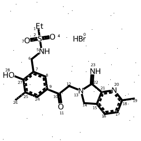 Br.CCS(=O)(=O)NCc1cc(C(=O)CN2Cc3ccc(C)nc3C2=N)cc(C)c1O